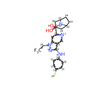 O=C(c1cc2c(cn1)c(Nc1ccc(F)cc1)nn2CC(F)(F)F)N1C2CCC1CC(O)C2